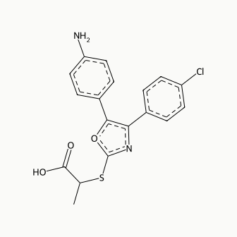 CC(Sc1nc(-c2ccc(Cl)cc2)c(-c2ccc(N)cc2)o1)C(=O)O